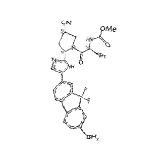 Bc1ccc2c(c1)C(F)(F)c1cc(-c3cnc([C@@H]4C[C@H](C#N)CN4C(=O)[C@@H](NC(=O)OC)C(C)C)[nH]3)ccc1-2